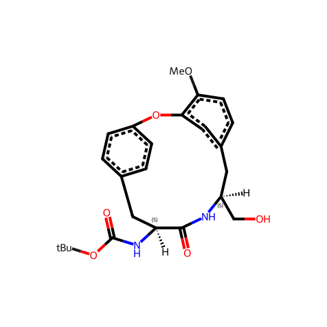 COc1ccc2cc1Oc1ccc(cc1)C[C@H](NC(=O)OC(C)(C)C)C(=O)N[C@H](CO)C2